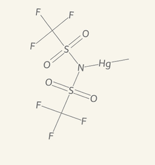 [CH3][Hg][N](S(=O)(=O)C(F)(F)F)S(=O)(=O)C(F)(F)F